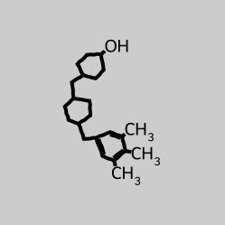 Cc1cc(CC2CCC(CC3CCC(O)CC3)CC2)cc(C)c1C